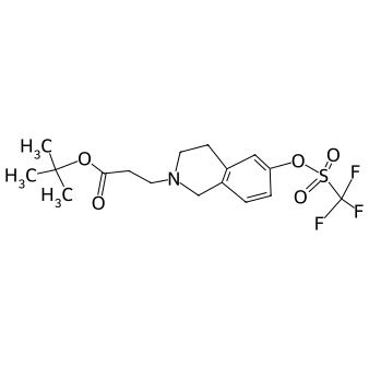 CC(C)(C)OC(=O)CCN1CCc2cc(OS(=O)(=O)C(F)(F)F)ccc2C1